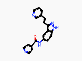 O=C(Nc1ccc2[nH]nc(C=Cc3cccnc3)c2c1)c1ccncc1